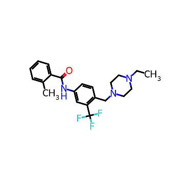 CCN1CCN(Cc2ccc(NC(=O)c3ccccc3C)cc2C(F)(F)F)CC1